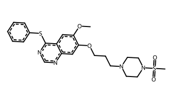 COc1cc2c(Sc3ccccc3)ncnc2cc1OCCCN1CCN(S(C)(=O)=O)CC1